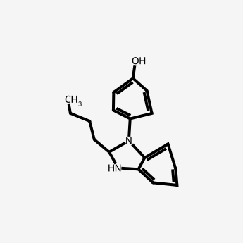 CCCCC1Nc2ccccc2N1c1ccc(O)cc1